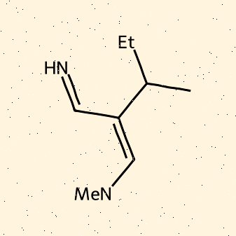 CCC(C)/C(C=N)=C/NC